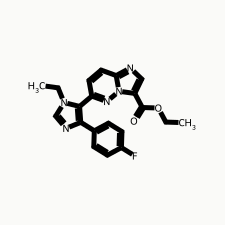 CCOC(=O)c1cnc2ccc(-c3c(-c4ccc(F)cc4)ncn3CC)nn12